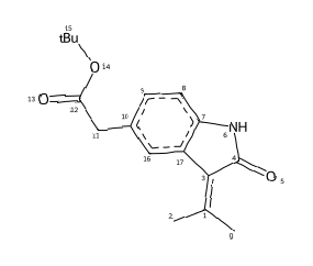 CC(C)=C1C(=O)Nc2ccc(CC(=O)OC(C)(C)C)cc21